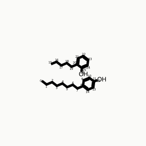 CCCCCCCCc1ccc(O)cc1.CCCCCc1ccccc1O